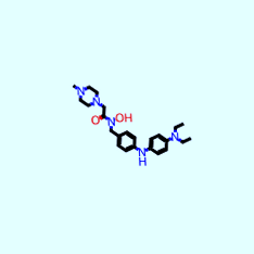 CCN(CC)c1ccc(Nc2ccc(CN(O)C(=O)CN3CCN(C)CC3)cc2)cc1